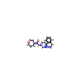 O=C(CN1CCC2(CC1)NCCc1ccccc12)N1CCCOCC1